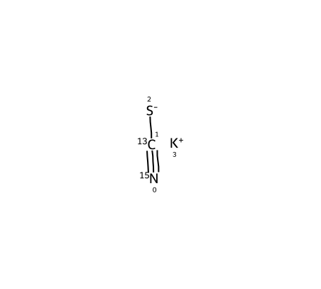 [15N]#[13C][S-].[K+]